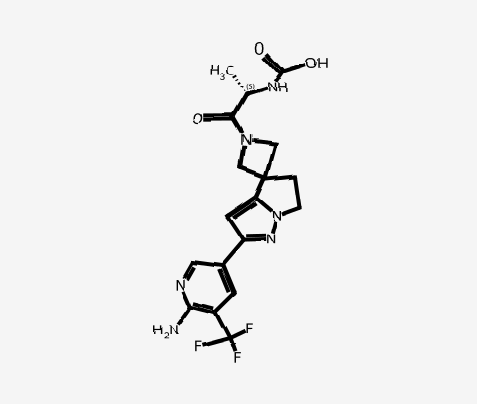 C[C@H](NC(=O)O)C(=O)N1CC2(CCn3nc(-c4cnc(N)c(C(F)(F)F)c4)cc32)C1